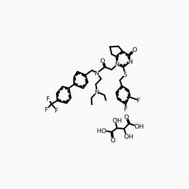 CCN(CC)CCN(Cc1ccc(-c2ccc(C(F)(F)F)cc2)cc1)C(=O)Cn1c(SCc2ccc(F)c(F)c2)nc(=O)c2c1CCC2.O=C(O)C(O)C(O)C(=O)O